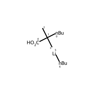 CCCCC(C)(C)C(=O)O.[Li][CH2]CCC